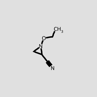 CCON1CC1C#N